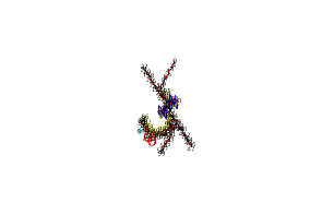 CCCCCCCCCCCCC(CCCCCCCCCC)Cc1cc(-c2cc3c(cc(-c4cc(CC(CCCCCCCCCC)CCCCCCCCCCCC)c(-c5ccc(-c6ccc(-c7cc(C(=O)OC)c(-c8cc(F)c(-c9ccc(C)s9)s8)s7)s6)s5)s4)c4nsnc43)c3nsnc23)sc1C